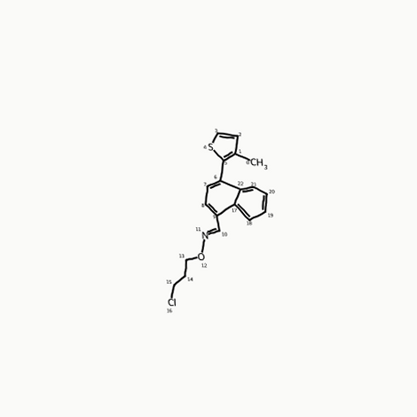 Cc1ccsc1-c1ccc(C=NOCCCCl)c2ccccc12